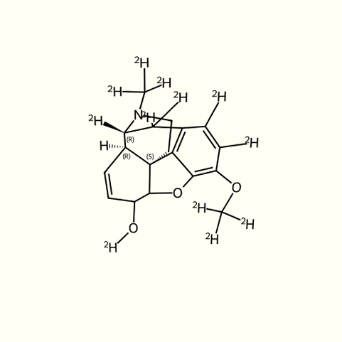 [2H]OC1C=C[C@@H]2[C@@]34CCN(C([2H])([2H])[2H])[C@]2([2H])C([2H])([2H])c2c([2H])c([2H])c(OC([2H])([2H])[2H])c(c23)OC14